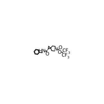 O=C(NCc1ccccc1)[C@H]1CC12CCN(C(=O)OC(C(F)(F)F)C(F)(F)F)CC2